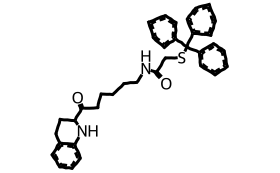 O=C(CSC(c1ccccc1)(c1ccccc1)c1ccccc1)NCCCCCC(=O)C1CCc2ccccc2N1